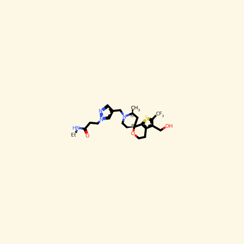 CCNC(=O)CCn1cc(CN2CC[C@]3(C[C@@H]2C)OCCc2c3sc(C(F)(F)F)c2CO)cn1